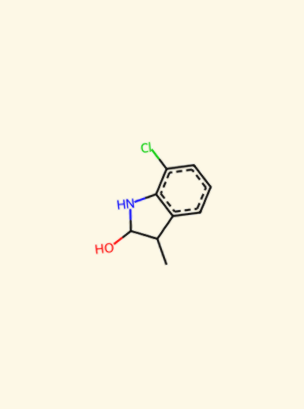 CC1c2cccc(Cl)c2NC1O